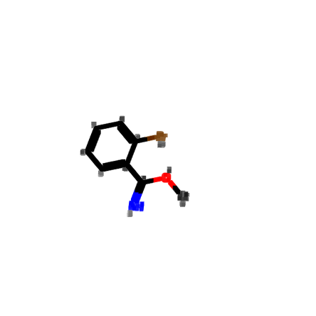 CCOC(=N)c1ccccc1Br